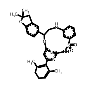 CC1=CCCC(C)=C1c1cc2nc(n1)NS(=O)(=O)c1cccc(c1)NCC(c1ccc3c(c1)CC(C)(C)O3)O2